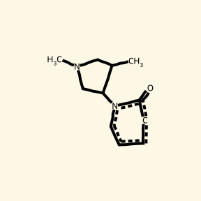 CC1CN(C)CC1n1ccccc1=O